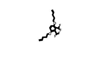 C=CCCCOc1ccc(OCCCC=C)c(C(F)F)c1C(F)F